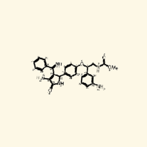 COC(=O)NCC(Oc1ccc(C2NC(=O)C(N)=C2C(=N)c2ccccc2)cc1)c1cccc(N)c1